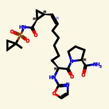 CC1(S(=O)(=O)NC(=O)[C@H]2C[C@H]2/C=C\CCCCC[C@H](Nc2ncco2)C(=O)N2CCC[C@H]2C(N)=O)CC1